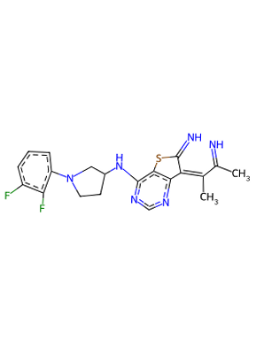 CC(=N)/C(C)=C1\C(=N)Sc2c(NC3CCN(c4cccc(F)c4F)C3)ncnc21